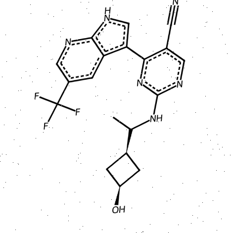 CC(Nc1ncc(C#N)c(-c2c[nH]c3ncc(C(F)(F)F)cc23)n1)[C@H]1C[C@@H](O)C1